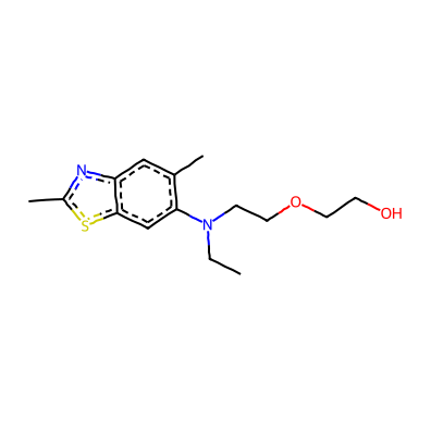 CCN(CCOCCO)c1cc2sc(C)nc2cc1C